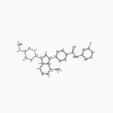 Cc1ccnc(NC(=O)c2ccc(-c3nc(C4CCC(CO)OC4)n4ccnc(N)c34)cc2)c1